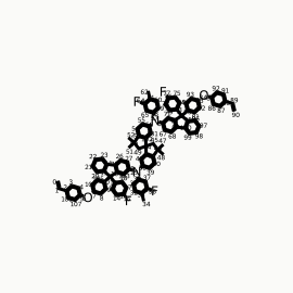 C=Cc1ccc(Oc2ccc(C3(c4ccc(F)cc4)c4ccccc4-c4ccc(N(c5ccc(C)c(F)c5)c5ccc6c(c5)C5(CC6(C)C)CC(C)(C)c6ccc(N(c7ccc(C)c(F)c7)c7ccc8c(c7)C(c7ccc(F)cc7)(c7ccc(Oc9ccc(C=C)cc9)cc7)c7ccccc7-8)cc65)cc43)cc2)cc1